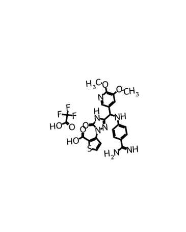 COc1cc(C(Nc2ccc(C(=N)N)cc2)c2nn(-c3ccsc3C(=O)O)c(=O)[nH]2)cnc1OC.O=C(O)C(F)(F)F